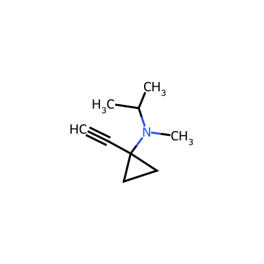 C#CC1(N(C)C(C)C)CC1